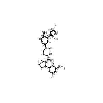 Bc1cc(C)cc(C2CCNN2C(=O)N2CCN(c3cc(-c4cc(C)nn4C)c(B)cn3)CC2)c1